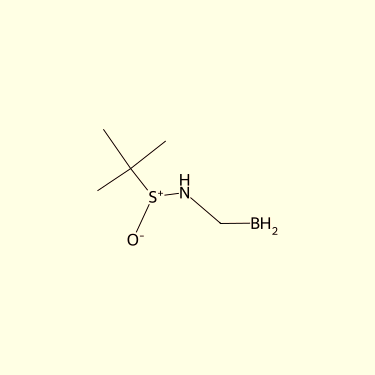 BCN[S+]([O-])C(C)(C)C